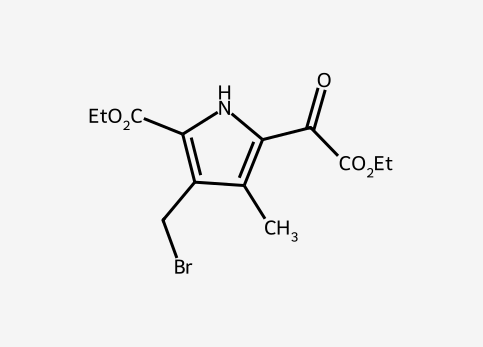 CCOC(=O)C(=O)c1[nH]c(C(=O)OCC)c(CBr)c1C